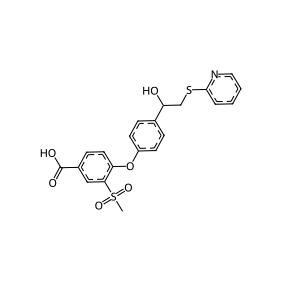 CS(=O)(=O)c1cc(C(=O)O)ccc1Oc1ccc(C(O)CSc2ccccn2)cc1